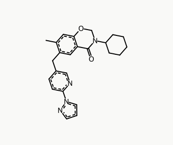 Cc1cc2c(cc1Cc1ccc(-n3cccn3)nc1)C(=O)N(C1CCCCC1)CO2